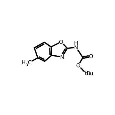 Cc1ccc2oc(NC(=O)OC(C)(C)C)nc2c1